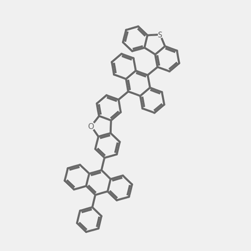 c1ccc(-c2c3ccccc3c(-c3ccc4c(c3)oc3ccc(-c5c6ccccc6c(-c6cccc7sc8ccccc8c67)c6ccccc56)cc34)c3ccccc23)cc1